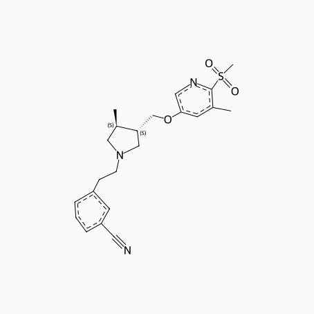 Cc1cc(OC[C@@H]2CN(CCc3cccc(C#N)c3)C[C@H]2C)cnc1S(C)(=O)=O